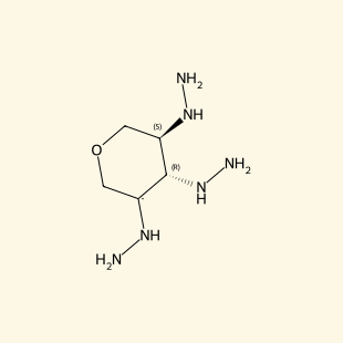 NN[C]1COC[C@@H](NN)[C@@H]1NN